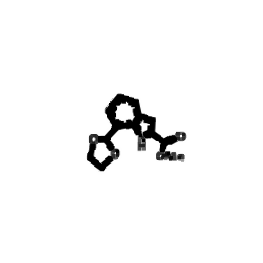 COC(=O)c1cc2cccc(C3OCCO3)c2[nH]1